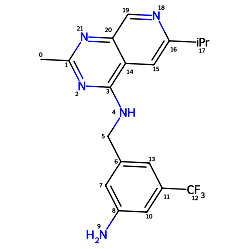 Cc1nc(NCc2cc(N)cc(C(F)(F)F)c2)c2cc(C(C)C)ncc2n1